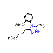 CCCCCCCCCCCCCC1=NNC(C=S)N1c1ccccc1OC